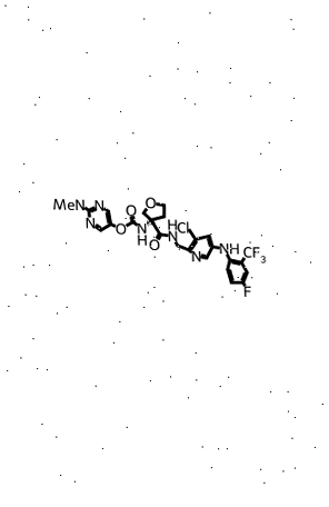 CNc1ncc(OC(=O)N[C@@]2(C(=O)NCc3ncc(Nc4ccc(F)cc4C(F)(F)F)cc3Cl)CCOC2)cn1